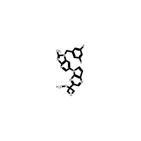 COC1(c2cnc3ccn(-c4cnc5nc(C)n(Cc6cc(F)cc(F)c6)c5c4)c3n2)COC1